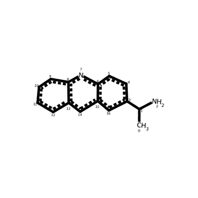 CC(N)c1ccc2nc3ccccc3cc2c1